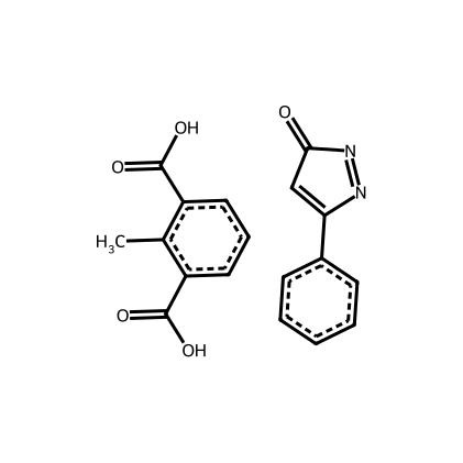 Cc1c(C(=O)O)cccc1C(=O)O.O=C1C=C(c2ccccc2)N=N1